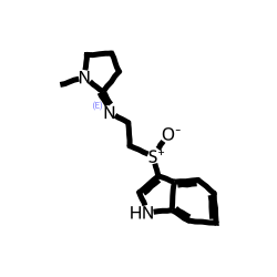 CN1CCC/C1=N\CC[S+]([O-])c1c[nH]c2ccccc12